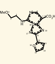 COCCNc1ncc(C(=O)O)c2nc(-c3ccco3)nn12